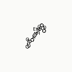 CCNC(=O)C1(CCCCN2CCN(c3ccc4c(c3)C(=O)N(CC3CCCCO3)C4)CC2)c2ccccc2Oc2ccccc21